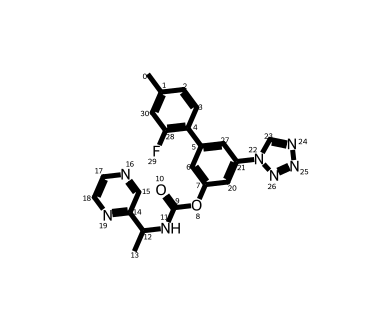 Cc1ccc(-c2cc(OC(=O)NC(C)c3cnccn3)cc(-n3cnnn3)c2)c(F)c1